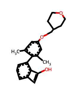 Cc1cc(OCC2CCOCC2)cc(C)c1-c1cccc2c1C(O)=C2